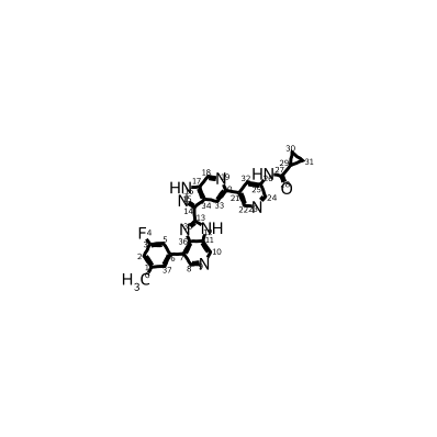 Cc1cc(F)cc(-c2cncc3[nH]c(-c4n[nH]c5cnc(-c6cncc(NC(=O)C7CC7)c6)cc45)nc23)c1